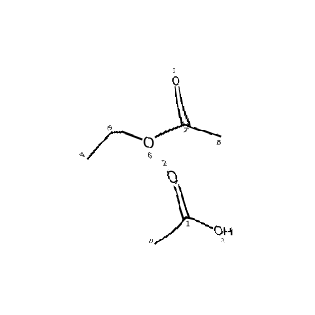 CC(=O)O.CCOC(C)=O